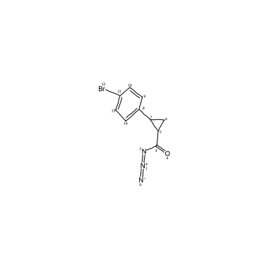 [N-]=[N+]=NC(=O)C1CC1c1ccc(Br)cc1